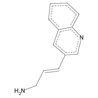 NCC=Cc1cnc2ccccc2c1